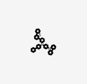 C1=C(c2cccc3c2sc2ccccc23)CCC=C1N(c1ccc(-c2ccccc2)cc1)c1ccc(-n2c3ccccc3c3ccccc32)cc1